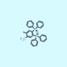 Cc1cc(P(=O)(c2ccccc2)c2ccccc2)c(P(=O)(c2ccccc2)c2ccccc2)cc1C(F)(F)F